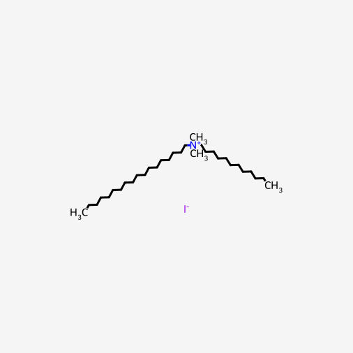 CCCCCCCCCCCCCCCCCC[N+](C)(C)CCCCCCCCCCCC.[I-]